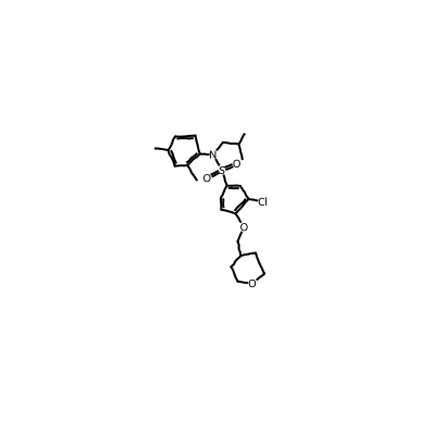 Cc1ccc(N(CC(C)C)S(=O)(=O)c2ccc(OCC3CCOCC3)c(Cl)c2)c(C)c1